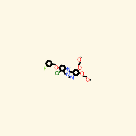 COCCOc1cc2c(cc1OCCOC)C1=Nc3ccc(OCc4cccc(F)c4)c(Cl)c3CN1C=N2